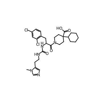 Cn1cncc1CCNC(=O)NC(Cc1ccc(Cl)cc1Cl)C(=O)N1CCC(C(=O)O)(C2CCCCC2)CC1